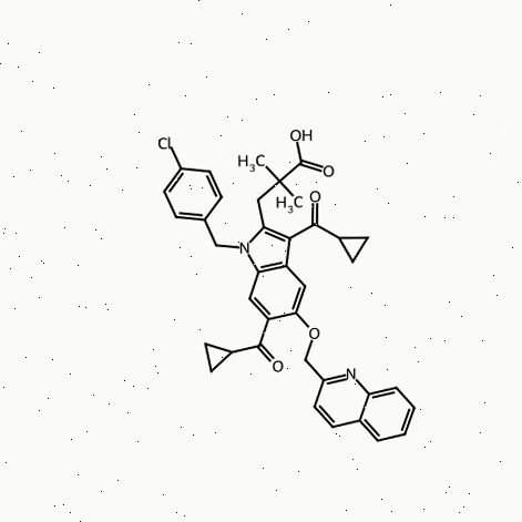 CC(C)(Cc1c(C(=O)C2CC2)c2cc(OCc3ccc4ccccc4n3)c(C(=O)C3CC3)cc2n1Cc1ccc(Cl)cc1)C(=O)O